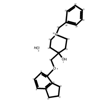 Cl.OC1(COc2cccc3c2CCC3)CCN(Cc2ccccc2)CC1